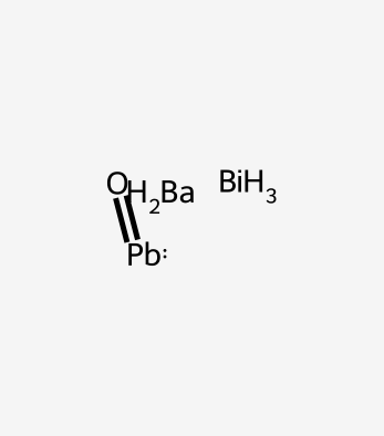 [BaH2].[BiH3].[O]=[Pb]